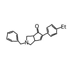 CCc1ccc(C2=CC3CN(Cc4ccccc4)CC3C2=O)cc1